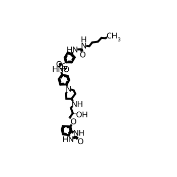 CCCCCCNC(=O)Nc1ccc(S(=O)(=O)Nc2ccc(N3CCC(NC[C@H](O)COc4cccc5[nH]c(=O)[nH]c45)CC3)cc2)cc1